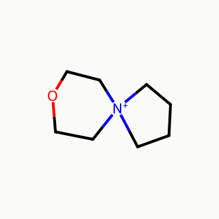 C1CC[N+]2(C1)CCOCC2